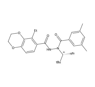 CCC[C@@H](N(NC(=O)c1ccc2c(c1CC)OCCO2)C(=O)c1cc(C)cc(C)c1)C(C)(C)C